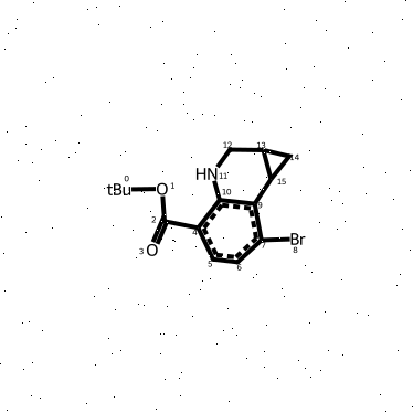 CC(C)(C)OC(=O)c1ccc(Br)c2c1NCC1CC21